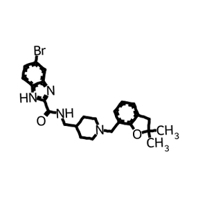 CC1(C)Cc2cccc(CN3CCC(CNC(=O)c4nc5cc(Br)ccc5[nH]4)CC3)c2O1